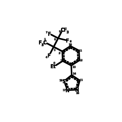 CCc1c(C(F)(C(F)(F)F)C(F)(F)C(F)(F)F)[c]ccc1-c1cnns1